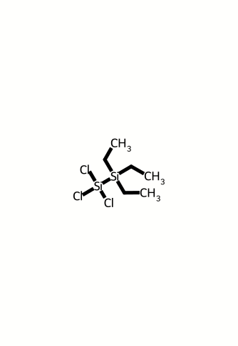 CC[Si](CC)(CC)[Si](Cl)(Cl)Cl